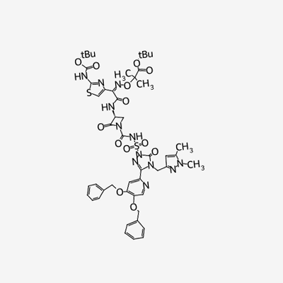 Cc1cc(Cn2c(-c3cc(OCc4ccccc4)c(OCc4ccccc4)cn3)nn(S(=O)(=O)NC(=O)N3C[C@H](NC(=O)/C(=N\OC(C)(C)C(=O)OC(C)(C)C)c4csc(NC(=O)OC(C)(C)C)n4)C3=O)c2=O)nn1C